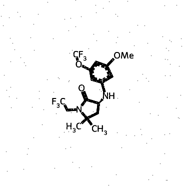 COc1cc(N[C@H]2CC(C)(C)N(CC(F)(F)F)C2=O)cc(OC(F)(F)F)c1